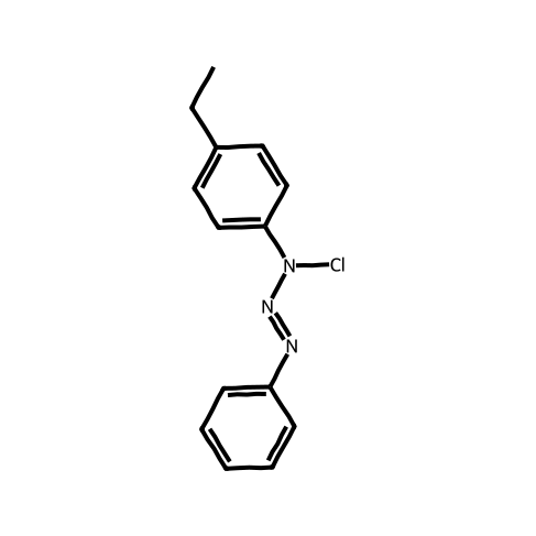 CCc1ccc(N(Cl)N=Nc2ccccc2)cc1